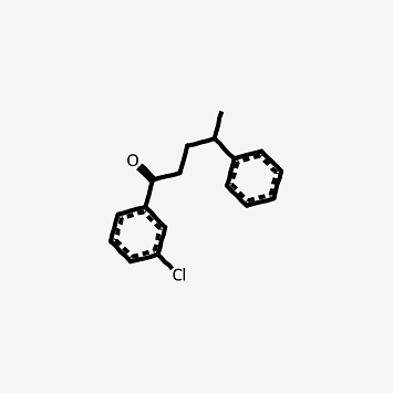 CC(CCC(=O)c1cccc(Cl)c1)c1ccccc1